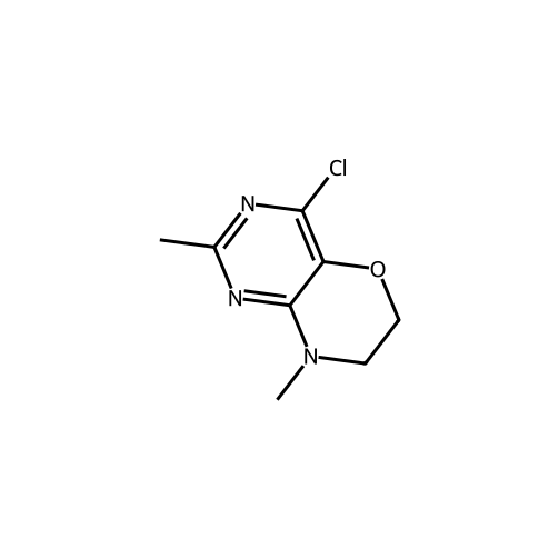 Cc1nc(Cl)c2c(n1)N(C)CCO2